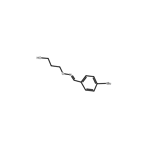 CC(C)(C)c1ccc(C=NOCCCO)cc1